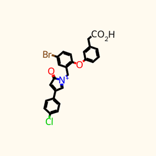 O=C(O)Cc1cccc(Oc2ccc(Br)cc2C[N+]2=CC(c3ccc(Cl)cc3)=CC2=O)c1